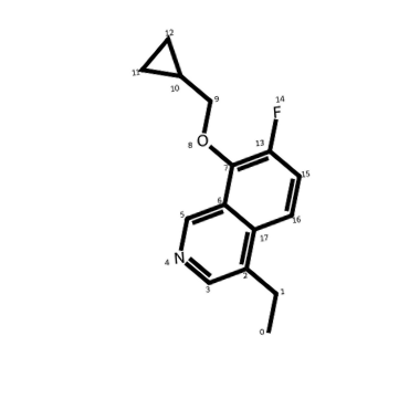 CCc1cncc2c(OCC3CC3)c(F)ccc12